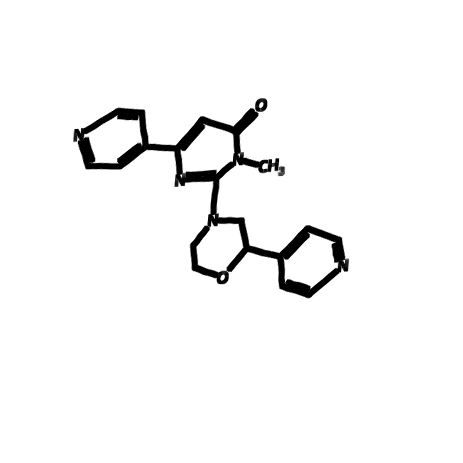 Cn1c(N2CCOC(c3ccncc3)C2)nc(-c2ccncc2)cc1=O